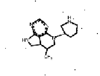 CC1CN([C@@H]2CCCNC2)c2ncnc3c2C1CN3